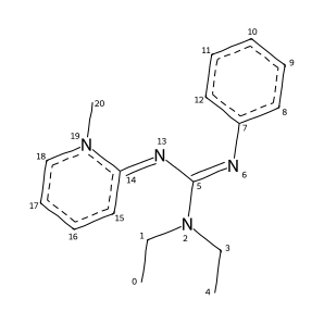 CCN(CC)C(=Nc1ccccc1)N=c1ccccn1C